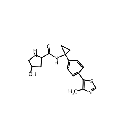 Cc1ncsc1-c1ccc(C2(NC(=O)C3CC(O)CN3)CC2)cc1